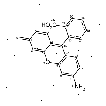 C=c1ccc2c(c1)Oc1cc(N)ccc1C=2c1ccccc1C(=O)O